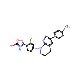 O=c1[nH]c(-c2ccc(N3CCCc4cc(-c5ccc(C(F)(F)F)cc5)cnc43)cc2Cl)no1